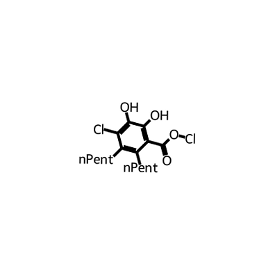 CCCCCc1c(Cl)c(O)c(O)c(C(=O)OCl)c1CCCCC